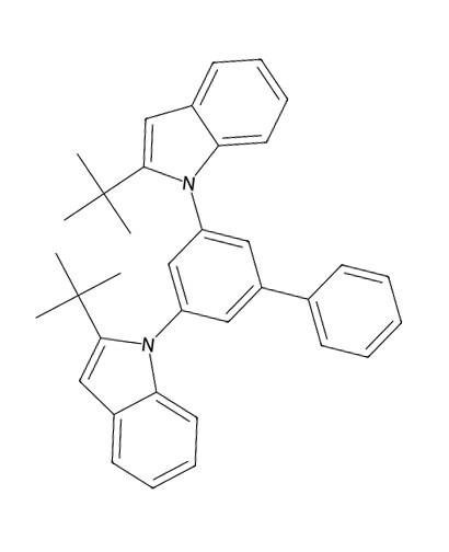 CC(C)(C)c1cc2ccccc2n1-c1cc(-c2ccccc2)cc(-n2c(C(C)(C)C)cc3ccccc32)c1